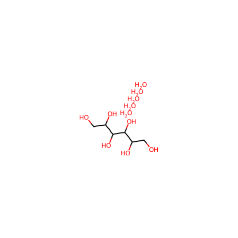 O.O.O.O.O.OCC(O)C(O)C(O)C(O)CO